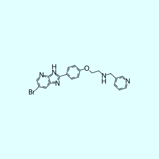 Brc1cnc2[nH]c(-c3ccc(OCCNCc4cccnc4)cc3)nc2c1